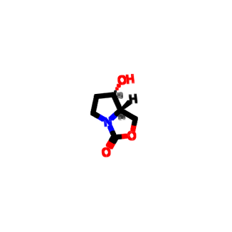 O=C1OC[C@H]2[C@@H](O)CCN12